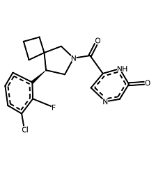 O=C(c1cncc(=O)[nH]1)N1C[C@@H](c2cccc(Cl)c2F)C2(CCC2)C1